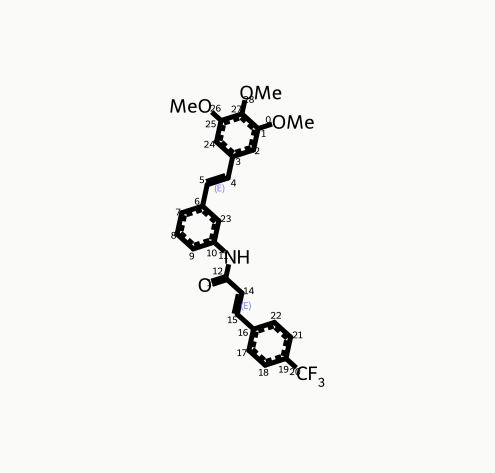 COc1cc(/C=C/c2cccc(NC(=O)/C=C/c3ccc(C(F)(F)F)cc3)c2)cc(OC)c1OC